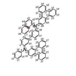 c1ccc(-c2ccc(N(c3ccccc3)c3ccc4c5ccccc5c5ccccc5c4c3)cc2-c2cccc(N(c3ccccc3)c3ccc4c5ccccc5c5ccccc5c4c3)c2)cc1